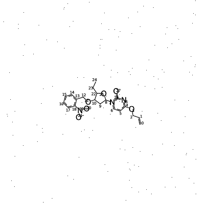 C=CCOc1ccn(C2CC(OCc3ccccc3[N+](=O)[O-])C(CC)O2)c(=O)n1